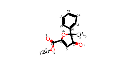 CCCCOC(=O)C1=CC(=O)C(C)(c2ccccc2)O1